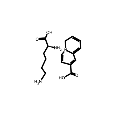 NCCCC[C@H](N)C(=O)O.O=C(O)C1=CC2=CC=CCN2C=C1